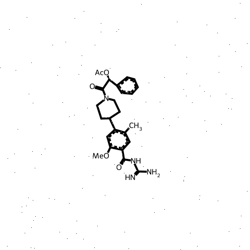 COc1cc(C2CCN(C(=O)[C@@H](OC(C)=O)c3ccccc3)CC2)c(C)cc1C(=O)NC(=N)N